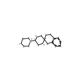 c1ccc2c(c1)CCC1(CCC(N3CCCCC3)CC1)C2